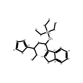 CCC(CC(O[Si](CC)(CC)CC)C1=CCc2ccccc21)C1=CC=CC1